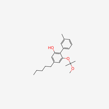 CCCCCc1cc(O)c(-c2cccc(C)c2)c(OC(C)(C)OC)c1